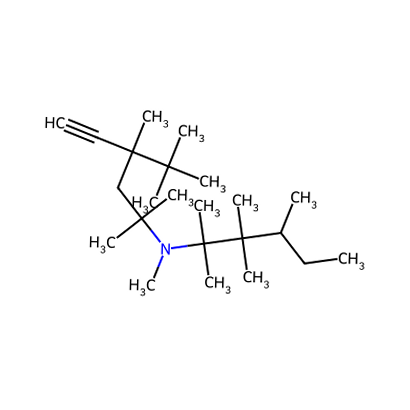 C#CC(C)(CC(C)(C)N(C)C(C)(C)C(C)(C)C(C)CC)C(C)(C)C